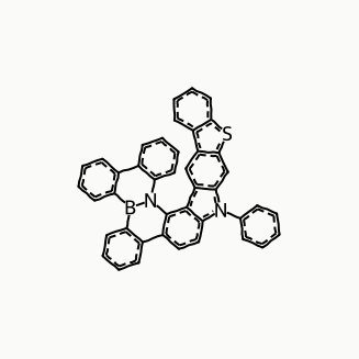 c1ccc(-n2c3cc4sc5ccccc5c4cc3c3c4c(ccc32)-c2ccccc2B2c3ccccc3-c3ccccc3N24)cc1